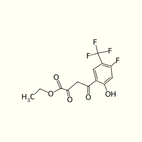 CCOC(=O)C(=O)CC(=O)c1cc(C(F)(F)F)c(F)cc1O